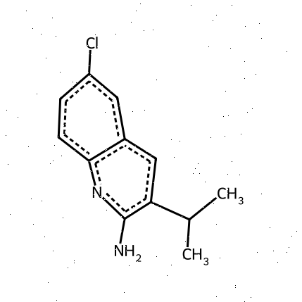 CC(C)c1cc2cc(Cl)ccc2nc1N